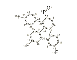 O=Pc1ccc(-c2ccc(F)cc2)c(-c2ccc(F)cc2)c1-c1ccc(F)cc1